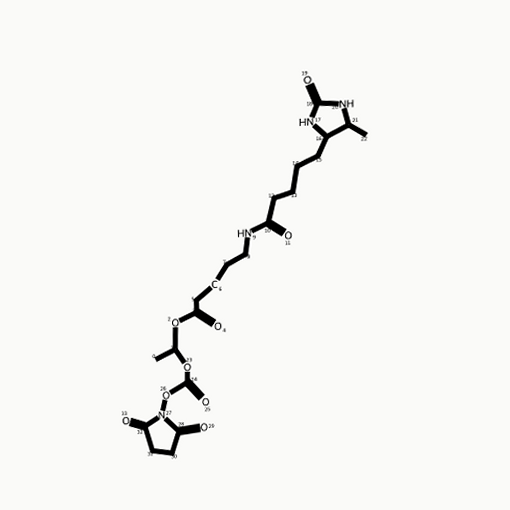 CC(OC(=O)CCCCNC(=O)CCCCC1NC(=O)NC1C)OC(=O)ON1C(=O)CCC1=O